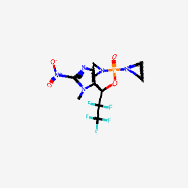 Cn1c(C(OP(=O)(N2CC2)N2CC2)C(F)(F)C(F)(F)F)cnc1[N+](=O)[O-]